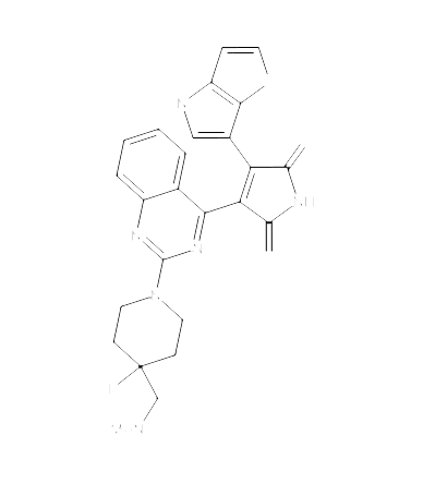 CNCC1(F)CCN(c2nc(C3=C(c4c[nH]c5ccsc45)C(=O)NC3=O)c3ccccc3n2)CC1